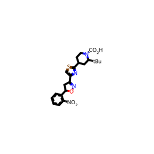 CC(C)(C)C1CC(c2nc(C3=NOC(c4ccccc4[N+](=O)[O-])C3)cs2)CCN1C(=O)O